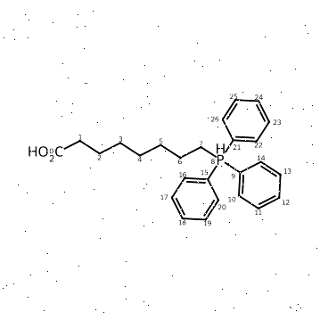 O=C(O)CCCCCCC[PH](c1ccccc1)(c1ccccc1)c1ccccc1